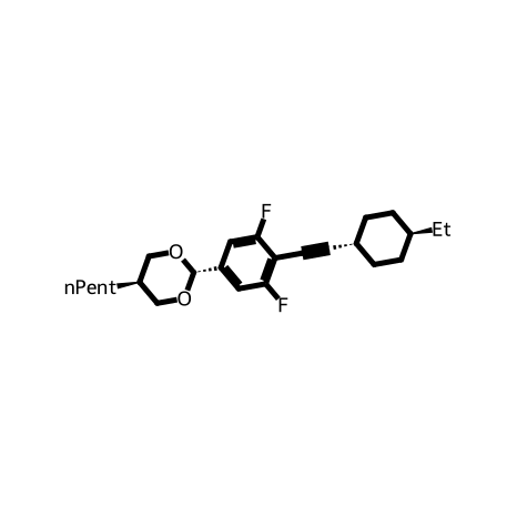 CCCCC[C@H]1CO[C@H](c2cc(F)c(C#C[C@H]3CC[C@H](CC)CC3)c(F)c2)OC1